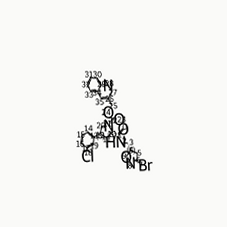 O=C(NC[C@@H]1CC(Br)=NO1)[C@@H]1C[C@@H](c2cccc(Cl)c2)CN1C(=O)OCc1cnc2ccccc2c1